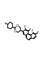 Fc1ccc2ccc3cc(C4COC(C5CCC(I)CC5)OC4)c(F)c(F)c3c2c1F